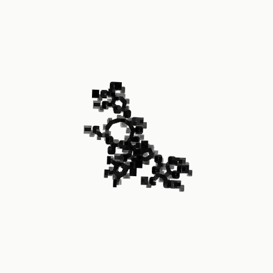 CC[C@H]1CCC[C@H](O[C@H]2CC[C@H](N(C)C)C(C)O2)[C@@H](C)C(=O)C2=C[C@H]3[C@@H]4C[C@H](O[C@@H]5OC(C)[C@H](OC)C(OC)C5OC)C[C@H]4[C@H](Nc4cc(F)c(F)c(F)c4)[C@@H](O)[C@H]3[C@@H]2CC(=O)O1